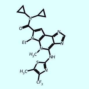 CCn1c(C(=O)N(C2CC2)C2CC2)cc2c3ncnc-3c(Nc3nc(C(F)(F)F)c(C)s3)n(C)c21